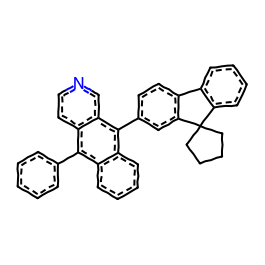 c1ccc(-c2c3ccccc3c(-c3ccc4c(c3)C3(CCCC3)c3ccccc3-4)c3cnccc23)cc1